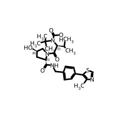 Cc1ncsc1-c1ccc(CNC(=O)[C@@H]2C[C@@H](O)CN2C(=O)[C@H](C(C)C)N(C(=O)O)C(C)(C)C)cc1